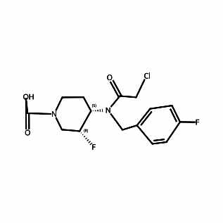 O=C(O)N1CC[C@H](N(Cc2ccc(F)cc2)C(=O)CCl)[C@H](F)C1